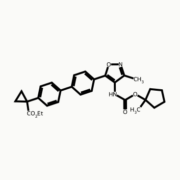 CCOC(=O)C1(c2ccc(-c3ccc(-c4onc(C)c4NC(=O)OC4(C)CCCC4)cc3)cc2)CC1